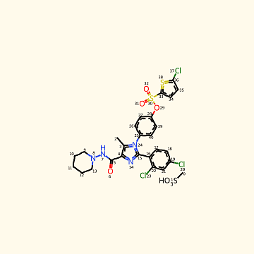 CS(=O)(=O)O.Cc1c(C(=O)NN2CCCCC2)nc(-c2ccc(Cl)cc2Cl)n1-c1ccc(OS(=O)(=O)c2ccc(Cl)s2)cc1